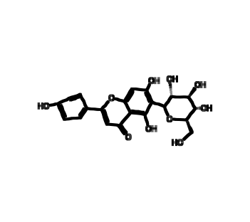 O=c1cc(-c2ccc(O)cc2)oc2cc(O)c(C3O[C@H](CO)[C@@H](O)[C@H](O)[C@H]3O)c(O)c12